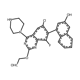 O=CCOc1nc(N2CCNCC2)c2cc(Cl)c(-c3cc(O)cc4ccccc34)c(F)c2n1